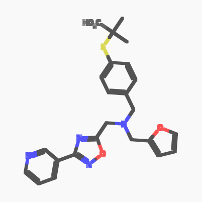 CC(C)(Sc1ccc(CN(Cc2ccco2)Cc2nc(-c3cccnc3)no2)cc1)C(=O)O